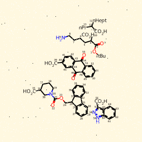 CC(C)(C)OC(=O)C(CCCCN)C(=O)O.CCCCCCCC(CCC)C(=O)O.O=C(O)C1CCCN(C(=O)OCC2c3ccccc3-c3ccccc32)C1.O=C(O)c1ccc2c(c1)C(=O)c1ccccc1C2=O.O=C(O)c1n[nH]c2ccccc12